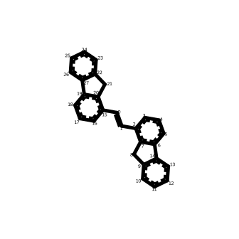 C(=Cc1cccc2c1Cc1ccccc1-2)c1cccc2c1Cc1ccccc1-2